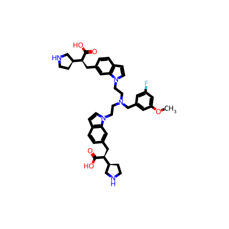 COc1cc(F)cc(CN(CCn2ccc3ccc(C[C@H](C(=O)O)[C@H]4CCNC4)cc32)CCn2ccc3ccc(C[C@H](C(=O)O)[C@H]4CCNC4)cc32)c1